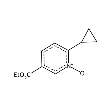 CCOC(=O)c1ccc(C2CC2)[n+]([O-])c1